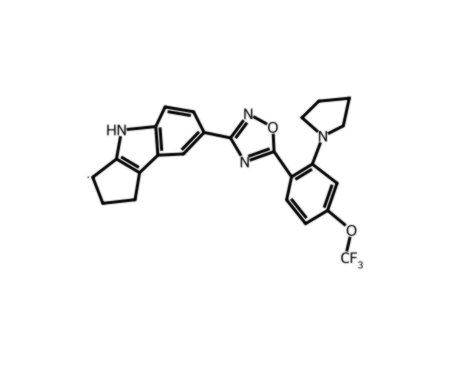 FC(F)(F)Oc1ccc(-c2nc(-c3ccc4[nH]c5c(c4c3)CC[CH]5)no2)c(N2CCCC2)c1